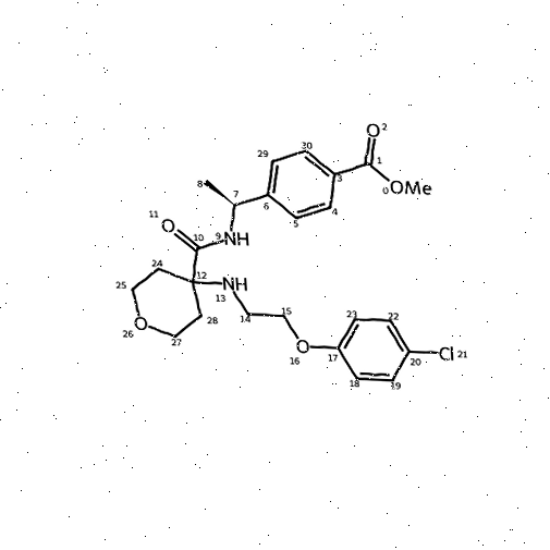 COC(=O)c1ccc([C@H](C)NC(=O)C2(NCCOc3ccc(Cl)cc3)CCOCC2)cc1